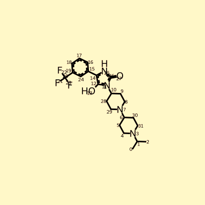 CC(C)N1CCC(N2CCC(n3c(O)c(-c4cccc(C(F)(F)F)c4)[nH]c3=O)CC2)CC1